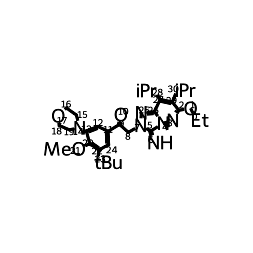 CCOc1nn2c(=N)n(CC(=O)c3cc(N4CCOCC4)c(OC)c(C(C)(C)C)c3)nc2c(C(C)C)c1C(C)C